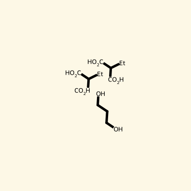 CCC(C(=O)O)C(=O)O.CCC(C(=O)O)C(=O)O.OCCCO